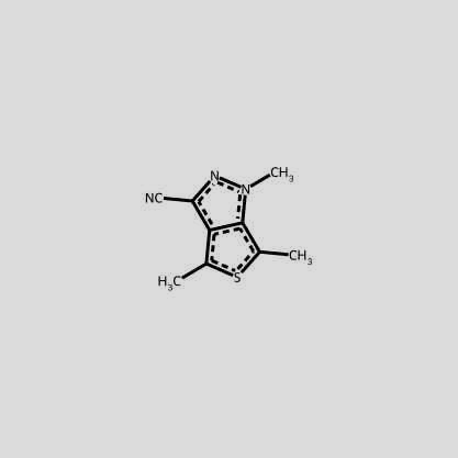 Cc1sc(C)c2c1c(C#N)nn2C